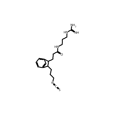 N=C(N)NCCCNC(=O)CCC1c2cccc(c2)C1CCCN=C=S